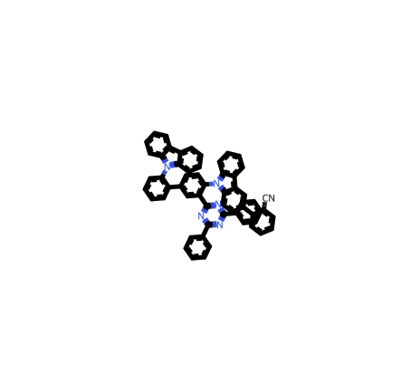 N#Cc1ccccc1-c1ccc2c(c1)c1ccccc1n2-c1ccc(-c2ccccc2-n2c3ccccc3c3ccccc32)cc1-c1nc(-c2ccccc2)nc(-c2ccccc2)n1